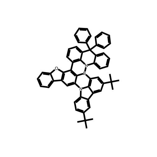 CC(C)(C)c1ccc2c(c1)c1cc(C(C)(C)C)cc3c1n2-c1cc2c(oc4ccccc42)c2c1B3N1c3ccccc3C(c3ccccc3)(c3ccccc3)c3cccc-2c31